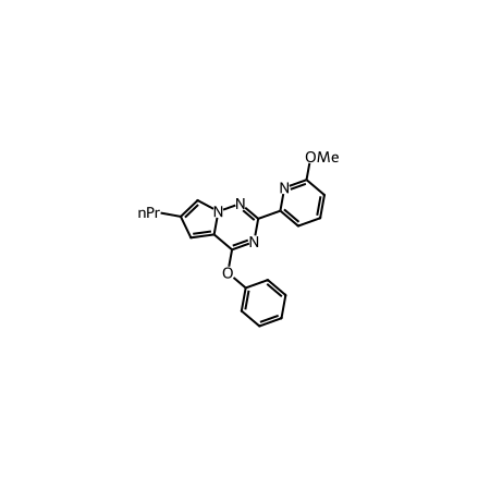 CCCc1cc2c(Oc3ccccc3)nc(-c3cccc(OC)n3)nn2c1